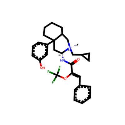 C[N@@+]1(CC2CC2)CC2CCCCC2(c2cccc(O)c2)C[C@H]1NC(=O)C(=Cc1ccccc1)OC(F)(F)F